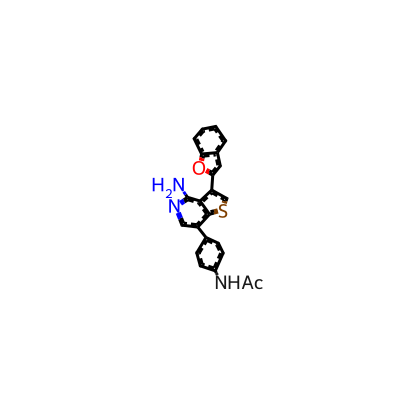 CC(=O)Nc1ccc(-c2cnc(N)c3c(-c4cc5ccccc5o4)csc23)cc1